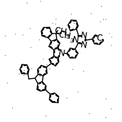 CC1(C)c2ccccc2-c2cc3c4cc(-c5ccc6c(c5)-c5cc(-c7ccccc7)ccc5C6Cc5ccccc5)ccc4n(-c4cccc(-c5nc(-c6ccccc6)nc(-c6ccccc6)n5)c4)c3cc21